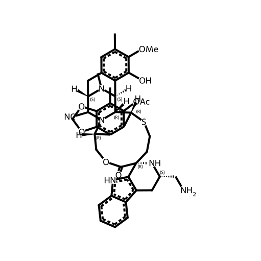 COc1c(C)cc2c(c1O)[C@H]1[C@@H]3[C@@H]4SCC[C@]5(N[C@H](CN)Cc6c5[nH]c5ccccc65)C(=O)OC[C@@H](c5c6c(c(C)c(OC(C)=O)c54)OCO6)N3C(C#N)[C@H](C2)N1C